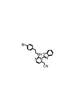 N#CCC1C=CN=C(NCCc2ccc(Br)cc2)N1c1nc2ccccc2s1